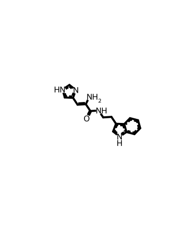 N/C(=C\c1c[nH]cn1)C(=O)NCCc1c[nH]c2ccccc12